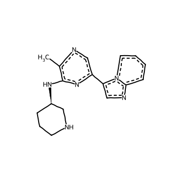 Cc1ncc(-c2cnc3ccccn23)nc1N[C@@H]1CCCNC1